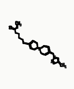 CSC(=O)CCCCCC1CCC(N2CCC(Cn3cc(C)cn3)CC2)CC1